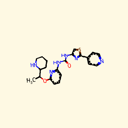 CC(Oc1cccc(NC(=O)Nc2csc(-c3ccncc3)n2)n1)C1CCCCN1